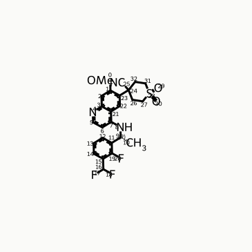 COc1cc2nccc(N[C@H](C)c3cccc(C(F)F)c3F)c2cc1C1(C#N)CCS(=O)(=O)CC1